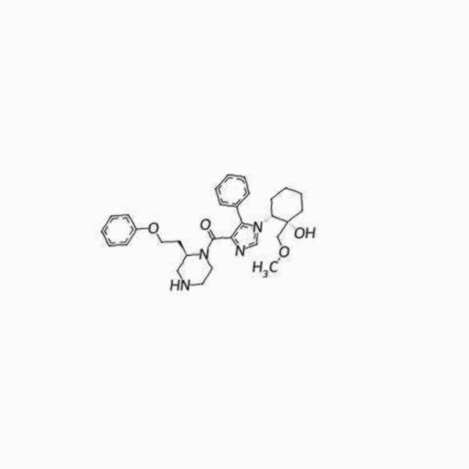 COC[C@]1(O)CCCC[C@H]1n1cnc(C(=O)N2CCNC[C@H]2CCOc2ccccc2)c1-c1ccccc1